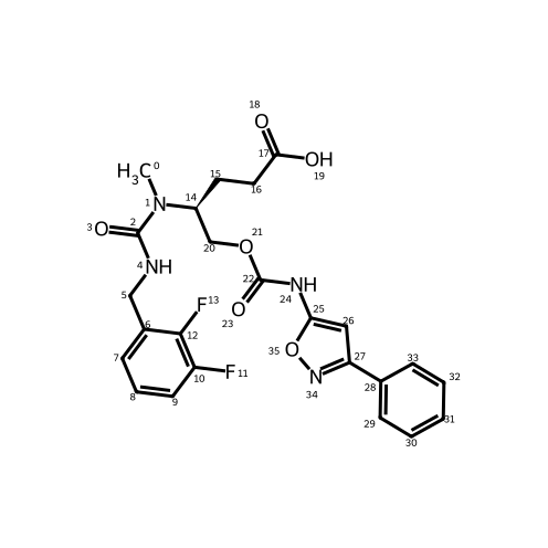 CN(C(=O)NCc1cccc(F)c1F)[C@@H](CCC(=O)O)COC(=O)Nc1cc(-c2ccccc2)no1